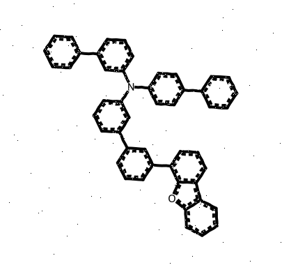 c1ccc(-c2ccc(N(c3cccc(-c4ccccc4)c3)c3cccc(-c4cccc(-c5cccc6c5oc5ccccc56)c4)c3)cc2)cc1